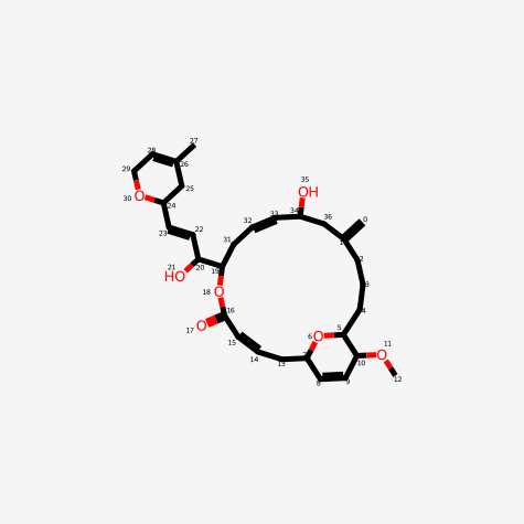 C=C1CCCC2OC(C=CC2OC)CC=CC(=O)OC(C(O)C=CC2CC(C)=CCO2)CC=CC(O)C1